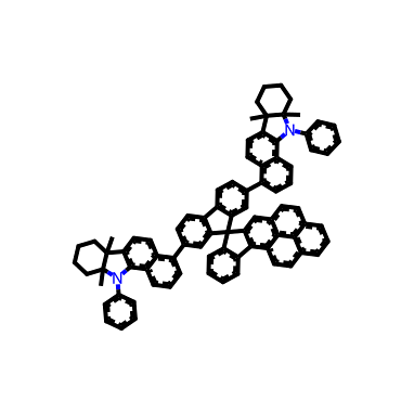 CC12CCCCC1(C)N(c1ccccc1)c1c2ccc2c(-c3ccc4c(c3)C3(c5cc(-c6cccc7c8c(ccc67)C6(C)CCCCC6(C)N8c6ccccc6)ccc5-4)c4ccccc4-c4c3cc3ccc5cccc6ccc4c3c56)cccc12